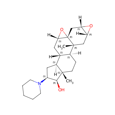 C[C@]12CC[C@H]3[C@@H](C[C@@H]4O[C@@]45C[C@@H]4O[C@@H]4C[C@]35C)[C@@H]1C[C@H](N1CCCCC1)[C@@H]2O